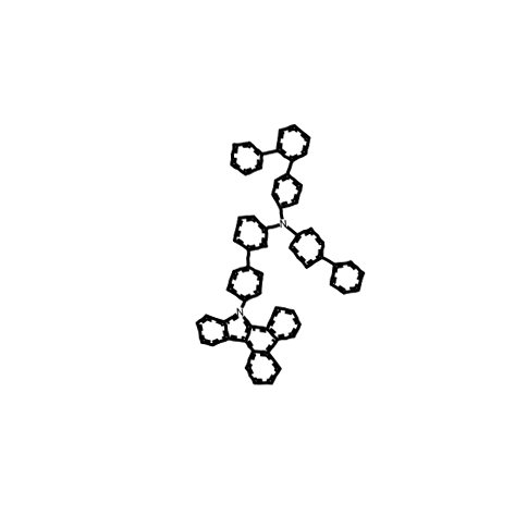 c1ccc(-c2ccc(N(c3ccc(-c4ccccc4-c4ccccc4)cc3)c3cccc(-c4ccc(-n5c6ccccc6c6c7ccccc7c7ccccc7c65)cc4)c3)cc2)cc1